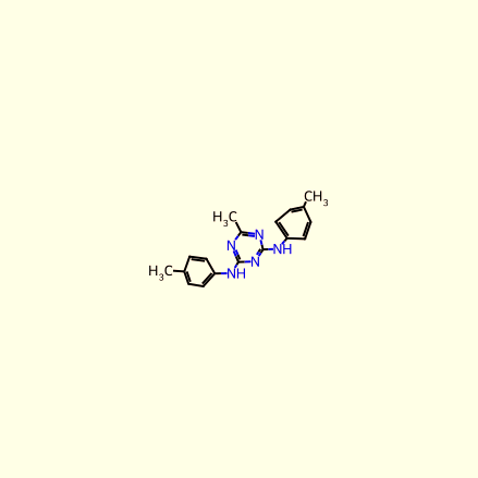 Cc1ccc(Nc2nc(C)nc(Nc3ccc(C)cc3)n2)cc1